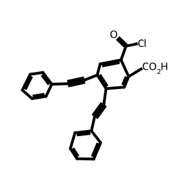 O=C(O)c1cc(C#Cc2ccccc2)c(C#Cc2ccccc2)cc1C(=O)Cl